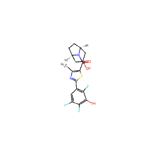 Cc1nc(-c2cc(F)c(F)c(O)c2F)sc1C(=O)N1[C@@H]2CC[C@H]1CC(O)C2